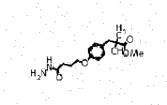 COC(=O)C(C)(C)Cc1ccc(OCCCC(=O)NN)cc1